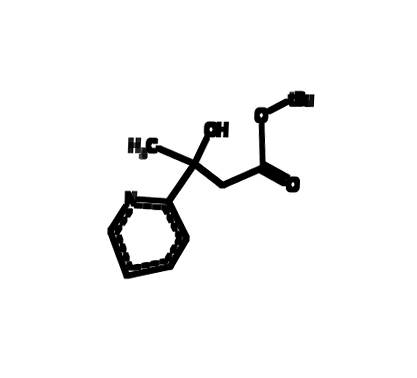 CC(C)(C)OC(=O)CC(C)(O)c1ccccn1